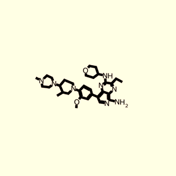 CCc1nc2c(N)ncc(-c3ccc(N4CCC(N5CCN(C)CC5)C(C)C4)c(OC)c3)c2nc1NC1CCOCC1